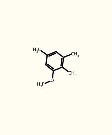 Cc1cc(C)c(C)c(OP)c1